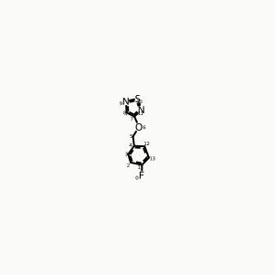 Fc1ccc(COc2[c]nsn2)cc1